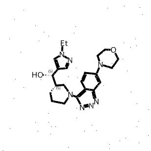 CCn1cc([C@@H](O)[C@H]2CCCN(c3nnnc4cc(N5CCOCC5)ccc34)C2)cn1